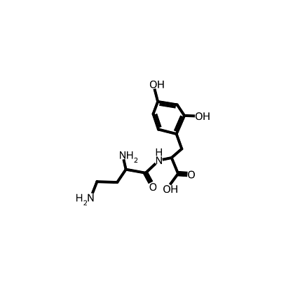 NCCC(N)C(=O)NC(Cc1ccc(O)cc1O)C(=O)O